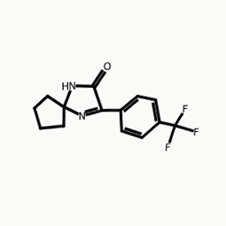 O=C1NC2(CCCC2)N=C1c1ccc(C(F)(F)F)cc1